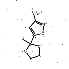 CCOC(=O)c1cc(C2(C)OCCO2)on1